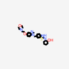 OC1CCCCC1Nc1nc2ccc(Cn3cnc4cc(OCCN5CCOCC5)ccc43)cc2s1